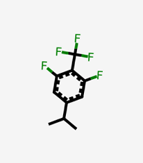 CC(C)c1cc(F)c(C(F)(F)F)c(F)c1